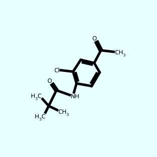 CC(=O)c1ccc(NC(=O)C(C)(C)C)c(Cl)c1